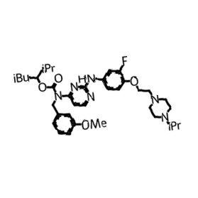 CCC(C)C(OC(=O)N(Cc1cccc(OC)c1)c1ccnc(Nc2ccc(OCCN3CCN(C(C)C)CC3)c(F)c2)n1)C(C)C